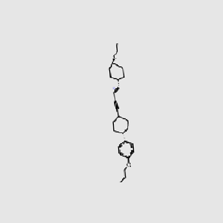 CCCOc1ccc([C@H]2CC[C@H](C#C/C=C/[C@H]3CC[C@H](CCC)CC3)CC2)cc1